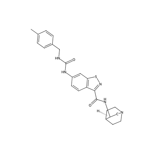 Cc1ccc(CNC(=O)Nc2ccc3c(C(=O)N[C@H]4CN5CCC4CC5)nsc3c2)cc1